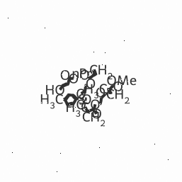 C=C(C)C(=O)OC.C=C(C)C(=O)OCC1CO1.C=CC(=O)OCCOS(=O)(=O)c1ccc(C)cc1.CCCOC(=O)C=CO